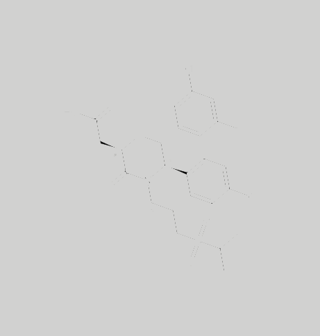 CC(C)S(=O)(=O)CC[C@H](C)N1C(=O)[C@@H](CC(=O)O)O[C@H](c2cc(F)cc(Cl)c2)[C@H]1c1ccc(Cl)cc1